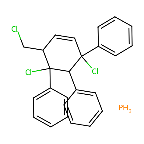 ClCC1C=CC(Cl)(c2ccccc2)C(c2ccccc2)C1(Cl)c1ccccc1.P